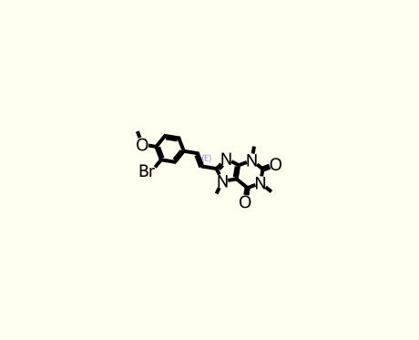 COc1ccc(/C=C/c2nc3c(c(=O)n(C)c(=O)n3C)n2C)cc1Br